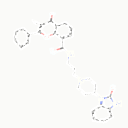 Cc1c(-c2ccccc2)oc2c(C(=O)NCCCN3CCC(n4c(=O)[nH]c5ccccc54)CC3)cccc2c1=O